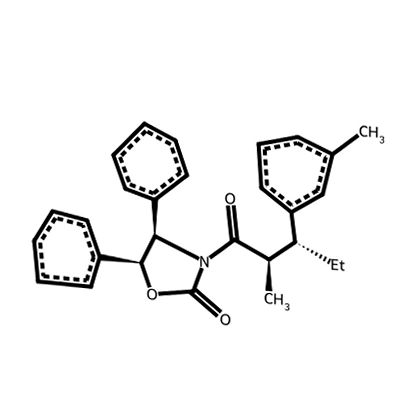 CC[C@@H](c1cccc(C)c1)[C@@H](C)C(=O)N1C(=O)O[C@@H](c2ccccc2)[C@H]1c1ccccc1